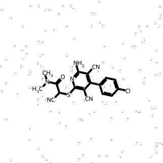 CN(C)C(=O)C(C#N)Sc1nc(N)c(C#N)c(-c2ccc(Cl)cc2)c1C#N